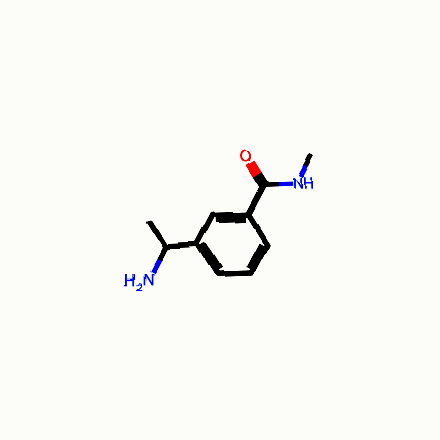 CNC(=O)c1cccc(C(C)N)c1